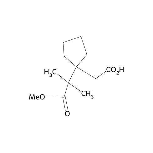 COC(=O)C(C)(C)C1(CC(=O)O)CCCC1